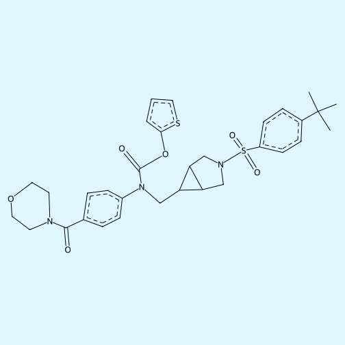 CC(C)(C)c1ccc(S(=O)(=O)N2CC3C(CN(C(=O)Oc4cccs4)c4ccc(C(=O)N5CCOCC5)cc4)C3C2)cc1